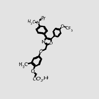 Cc1cc(OCc2nc(-c3ccc(N(C)C(C)C)cc3)c(-c3ccc(OC(F)(F)F)cc3)o2)ccc1OCC(=O)O